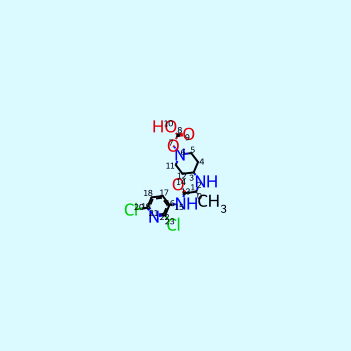 C[C@@H](NC1CCN(OC(=O)O)CC1)C(=O)Nc1ccc(Cl)nc1Cl